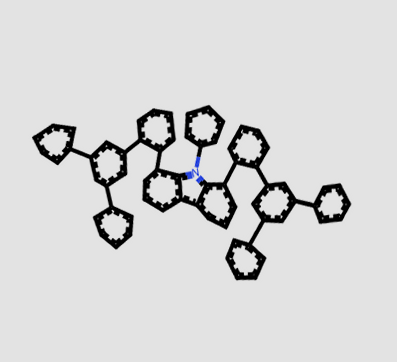 c1ccc(-c2cc(-c3ccccc3)cc(-c3ccccc3-c3cccc4c5cccc(-c6ccccc6-c6cc(-c7ccccc7)cc(-c7ccccc7)c6)c5n(-c5ccccc5)c34)c2)cc1